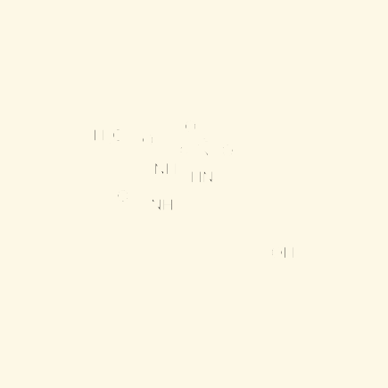 CCC[C@H](NC(=O)[C@@H]1O[C@H]1C(=O)NCCc1ccc(O)cc1)C(=O)NCc1ccc2ccccc2c1